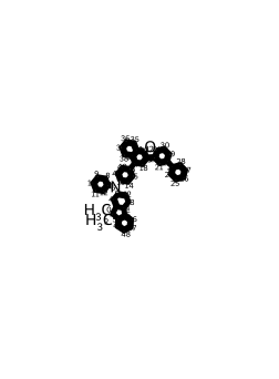 CC1(C)C2=CC(N(c3ccccc3)c3ccc(-c4cc5c6cc(-c7ccccc7)ccc6oc5c5ccccc45)cc3)=CCC2c2ccccc21